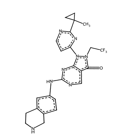 CC1(c2nccc(-n3c4nc(Nc5ccc6c(c5)CCNC6)ncc4c(=O)n3CC(F)(F)F)n2)CC1